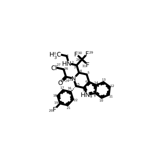 CCNC(C1Cc2c([nH]c3ccccc23)[C@H](c2ccc(F)cc2)N1C(=O)CCl)C(F)(F)F